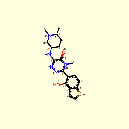 C[C@H]1CC[C@@H](Nc2nnc(-c3ccc4sccc4c3O)n(C)c2=O)CN1C